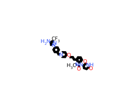 Cn1c(=O)n(C2CCC(=O)NC2=O)c2cccc(CCCOC3CCN(CC4CCC(n5cc(N)c(C(F)(F)F)n5)CC4)CC3)c21